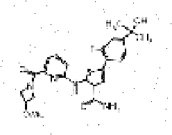 COC1CN(C(=O)c2cccc(NC3SC(c4ccc(C(C)(C)O)cc4F)=CC3C(N)=O)n2)C1